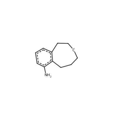 Nc1cccc2c1CCCCCC2